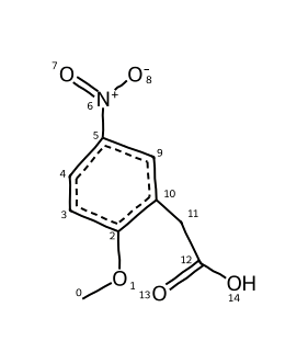 COc1ccc([N+](=O)[O-])cc1CC(=O)O